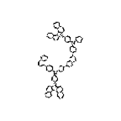 c1ccc(N(c2ccc(-c3ccc4ccc(-c5ccc(N(c6ccc(-c7cccc8ccccc78)cc6)c6ccc(-n7c8ccc9ccccc9c8c8c9ccccc9ccc87)cc6)cc5)cc4c3)cc2)c2ccc(-n3c4ccc5ccccc5c4c4c5ccccc5ccc43)cc2)cc1